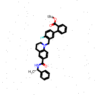 C[C@H](NC(=O)c1ccc2c(c1)CCCN2Cc1cc(-c2ccccc2C(=O)OC(C)(C)C)ccc1F)c1ccccc1